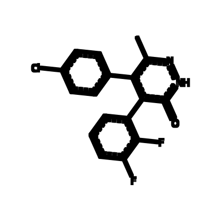 Cc1n[nH]c(=O)c(-c2cccc(F)c2F)c1-c1ccc(Cl)cc1